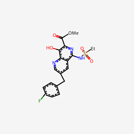 CCS(=O)(=O)Nc1nc(C(=O)OC)c(O)c2ncc(Cc3ccc(F)cc3)cc12